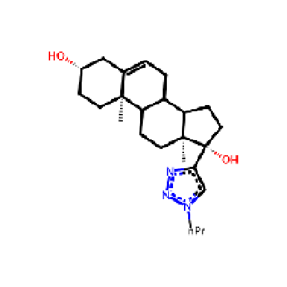 CCCn1cc([C@]2(O)CCC3C4CC=C5C[C@@H](O)CC[C@]5(C)C4CC[C@@]32C)nn1